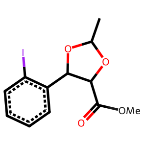 COC(=O)C1OC(C)OC1c1ccccc1I